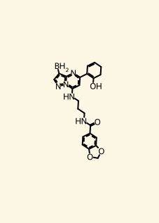 Bc1cnn2c(NCCCNC(=O)c3ccc4c(c3)OCO4)cc(C3=C(O)CCC=C3)nc12